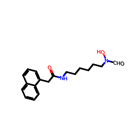 O=CN(O)CCCCCCNC(=O)Cc1cccc2ccccc12